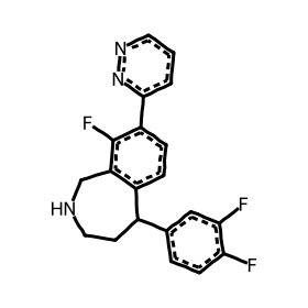 Fc1ccc(C2CCNCc3c2ccc(-c2cccnn2)c3F)cc1F